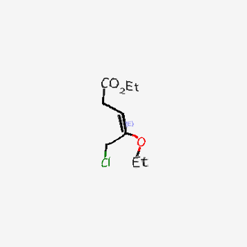 CCOC(=O)C/C=C(\CCl)OCC